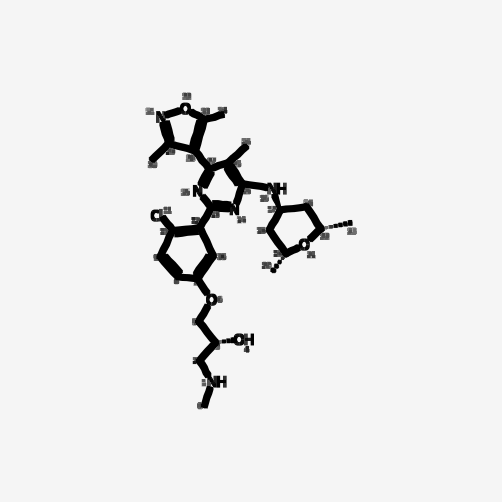 CNC[C@@H](O)COc1ccc(Cl)c(-c2nc(N[C@@H]3C[C@@H](C)O[C@@H](C)C3)c(C)c(-c3c(C)noc3C)n2)c1